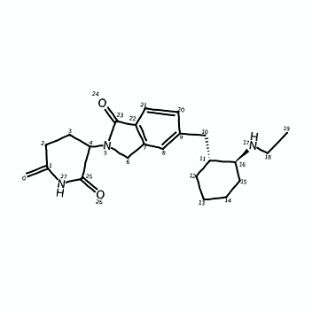 C=C1CCC(N2Cc3cc(C[C@H]4CCCC[C@@H]4NCC)ccc3C2=O)C(=O)N1